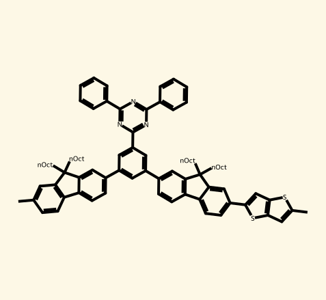 CCCCCCCCC1(CCCCCCCC)c2cc(C)ccc2-c2ccc(-c3cc(-c4ccc5c(c4)C(CCCCCCCC)(CCCCCCCC)c4cc(-c6cc7sc(C)cc7s6)ccc4-5)cc(-c4nc(-c5ccccc5)nc(-c5ccccc5)n4)c3)cc21